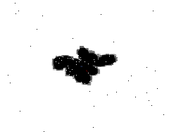 c1ccc(-c2cc(N(c3ccc4c(c3)CCCC4)c3ccc(-c4ccc5ccccc5c4)c4ccccc34)c(-c3ccccc3)cc2-c2cccc3c2ccc2ccccc23)cc1